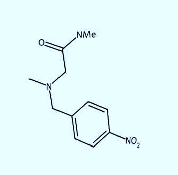 CNC(=O)CN(C)Cc1ccc([N+](=O)[O-])cc1